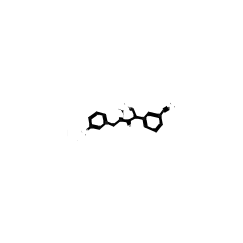 N#Cc1cccc(C2C=NN=C(Cc3cccc(N)c3)C2=O)c1